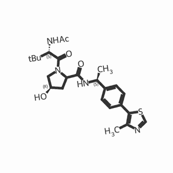 CC(=O)N[C@H](C(=O)N1C[C@H](O)CC1C(=O)N[C@@H](C)c1ccc(-c2scnc2C)cc1)C(C)(C)C